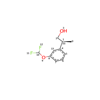 C[C@H](CO)c1cccc(OC(F)F)c1